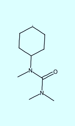 CN(C)C(=O)N(C)C1CC[CH]CC1